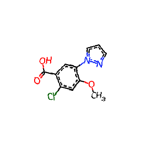 COc1cc(Cl)c(C(=O)O)cc1-n1cccn1